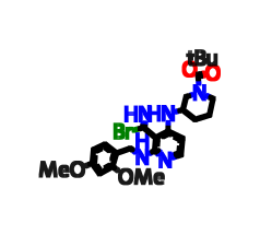 COc1ccc(CNc2nccc(NC3CCCN(C(=O)OC(C)(C)C)C3)c2C(=N)Br)c(OC)c1